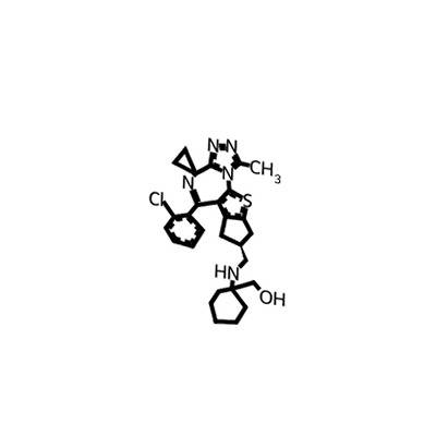 Cc1nnc2n1-c1sc3c(c1C(c1ccccc1Cl)=NC21CC1)C[C@H](CNC1(CO)CCCCC1)C3